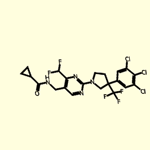 O=C(NCc1cnc(N2CCC(c3cc(Cl)c(Cl)c(Cl)c3)(C(F)(F)F)C2)nc1C(F)F)C1CC1